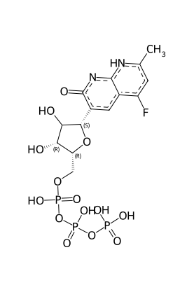 Cc1cc(F)c2cc([C@@H]3O[C@H](COP(=O)(O)OP(=O)(O)OP(=O)(O)O)[C@H](O)C3O)c(=O)nc-2[nH]1